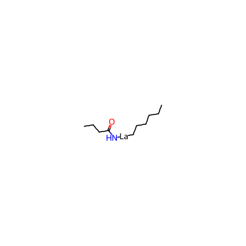 CCCCC[CH2][La][NH]C(=O)CCC